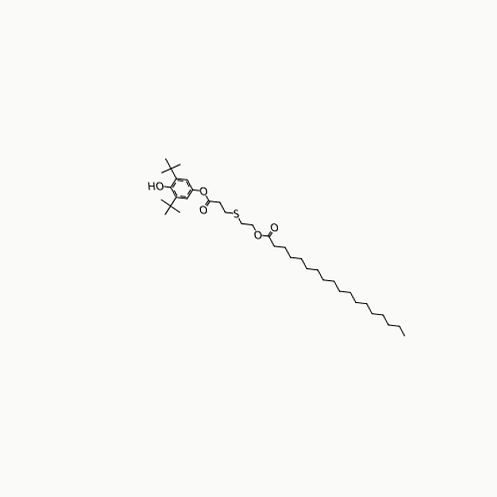 CCCCCCCCCCCCCCCCCC(=O)OCCSCCC(=O)Oc1cc(C(C)(C)C)c(O)c(C(C)(C)C)c1